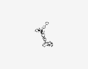 c1ccc(-c2ccc(-c3nc(-c4ccccc4)nc(-c4ccc(-c5ccc(-c6c7ccccc7cc7c6ccc6ccccc67)cc5)cc4)n3)cc2)cc1